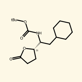 CC(C)(C)OC(=O)NC(CC1CCCCC1)[C@@H]1CCC(=O)O1